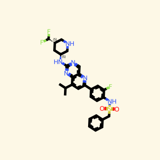 CC(C)c1cc(-c2ccc(NS(=O)(=O)Cc3ccccc3)c(F)c2)nc2cnc(N[C@@H]3CNC[C@@H](C(F)F)C3)nc12